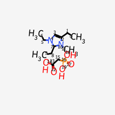 CCC1=CN(CC)C(CC)N1C.O=C(O)CP(=O)(O)O